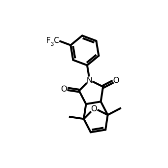 CC12C=CC(C)(O1)C1C(=O)N(c3cccc(C(F)(F)F)c3)C(=O)C12